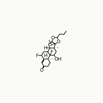 CCCC1OC2C[C@H]3[C@@H]4CC(F)C5=CC(=O)CC[C@]5(C)C4(F)C(O)C[C@]3(C)C2(SC)O1